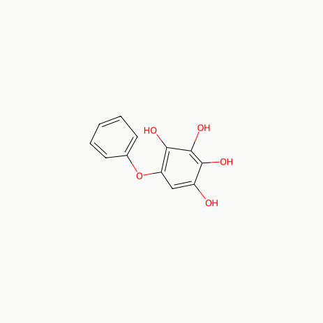 Oc1cc(Oc2ccccc2)c(O)c(O)c1O